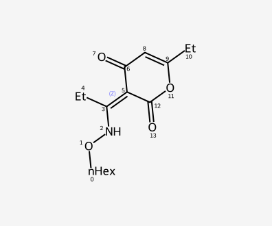 CCCCCCON/C(CC)=C1/C(=O)C=C(CC)OC1=O